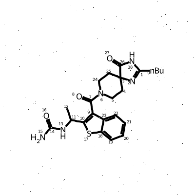 CCCCC1=NC2(CCN(C(=O)c3c(C(C)NC(N)=O)sc4ccccc34)CC2)C(=O)N1